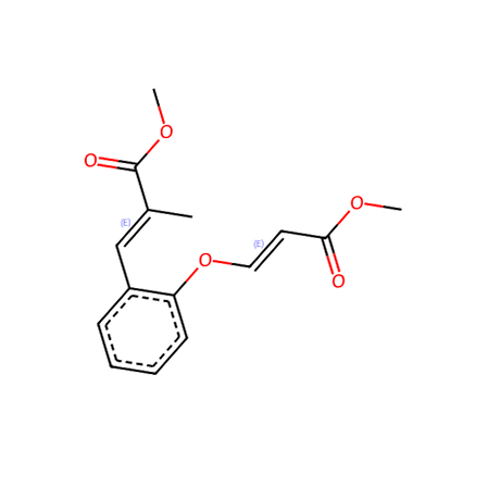 COC(=O)/C=C/Oc1ccccc1/C=C(\C)C(=O)OC